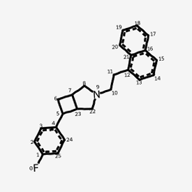 Fc1ccc(C2CC3CN(CCc4cccc5ccccc45)CC32)cc1